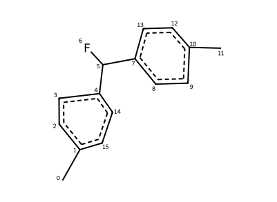 Cc1ccc(C(F)c2ccc(C)cc2)cc1